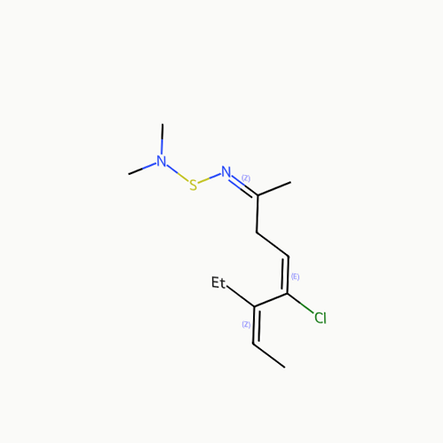 C/C=C(CC)\C(Cl)=C/C/C(C)=N\SN(C)C